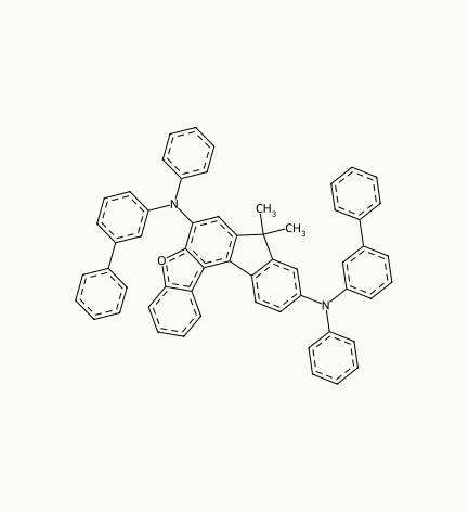 CC1(C)c2cc(N(c3ccccc3)c3cccc(-c4ccccc4)c3)ccc2-c2c1cc(N(c1ccccc1)c1cccc(-c3ccccc3)c1)c1oc3ccccc3c21